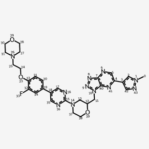 Cn1cc(-c2cnc3nnn(CC4CN(c5ncc(-c6ccc(OCCN7CCOCC7)c(F)c6)cn5)CCO4)c3n2)cn1